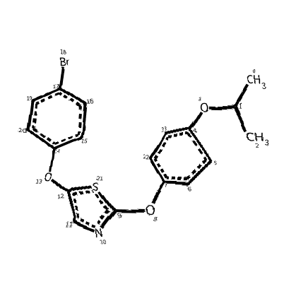 CC(C)Oc1ccc(Oc2ncc(Oc3ccc(Br)cc3)s2)cc1